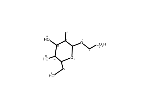 CC1C(OCC(=O)O)OC(CO)C(O)C1O